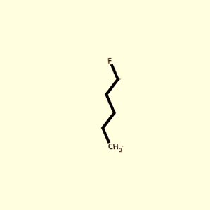 [CH2]CCC[CH]F